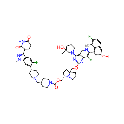 CCc1c(F)ccc2cc(O)cc(-c3ncc4c(N5CCC[C@@](C)(O)C5)nc(OC[C@@]56CCCN5[C@H](COC(=O)N5CCC(CN7CCC(c8cc9c(cc8F)c(C8CCC(=O)NC8=O)nn9C)CC7)CC5)CC6)nc4c3F)c12